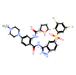 CN1CCN(c2ccc(C(=O)Nc3n[nH]c4ccc(S(=O)(=O)c5cc(F)cc(F)c5)cc34)c(NC(=O)[C@H]3CCCO3)c2)CC1